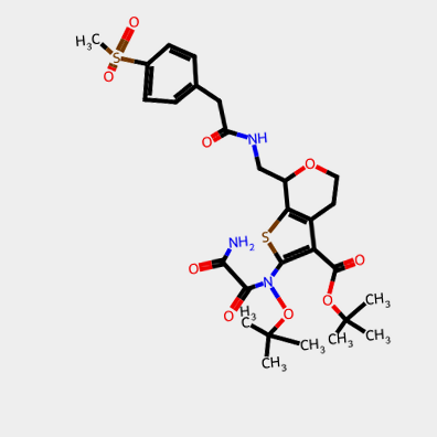 CC(C)(C)OC(=O)c1c(N(OC(C)(C)C)C(=O)C(N)=O)sc2c1CCOC2CNC(=O)Cc1ccc(S(C)(=O)=O)cc1